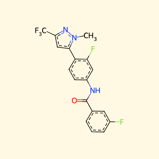 Cn1nc(C(F)(F)F)cc1-c1ccc(NC(=O)c2cccc(F)c2)cc1F